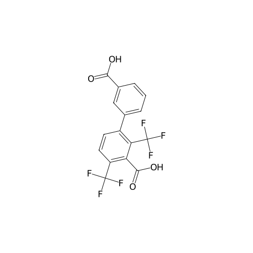 O=C(O)c1cccc(-c2ccc(C(F)(F)F)c(C(=O)O)c2C(F)(F)F)c1